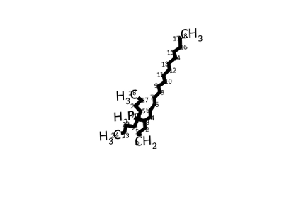 C=CCC(CCCCCCCCCCCCCCC)C(P)(CCCC)CCCC